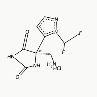 Cl.NC[C@]1(c2ccnn2C(F)F)NC(=O)NC1=O